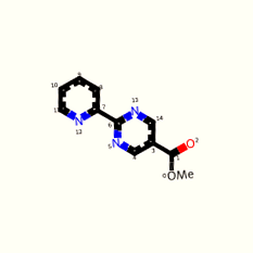 COC(=O)c1cnc(-c2ccccn2)nc1